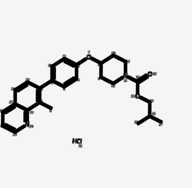 Cc1c(-c2ccc(OC3CCN(C(=O)OCC(C)C)CC3)cc2)ccc2cccnc12.Cl